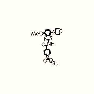 COc1ccc(N2CCOCC2)c2sc(NC(=O)C3CCN(C(=O)OC(C)(C)C)CC3)nc12